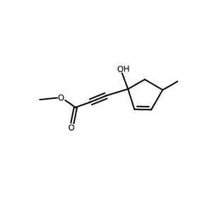 COC(=O)C#CC1(O)C=CC(C)C1